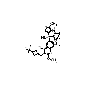 COc1nc2ccc(C(O)(c3cnnn3C)c3cnc(C)n3C)cc2c(Cl)c1CN1CC(C(F)(F)F)C1